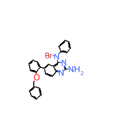 Nc1nc(N(Br)c2ccccc2)c2cc(-c3ccccc3OCc3ccccc3)ccc2n1